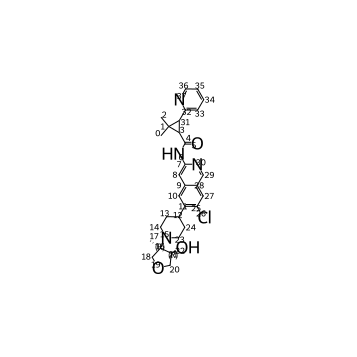 CC1(C)C(C(=O)Nc2cc3cc(C4CCN([C@]5(C)COC[C@@H]5O)CC4)c(Cl)cc3cn2)C1c1ccccn1